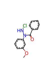 COc1cccc(N(NCl)C(=O)c2ccccc2)c1